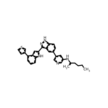 C=C(CCCC)Nc1cncc(-c2ccc3[nH]nc(-c4cc5c(-c6ccsc6)cccc5[nH]4)c3c2)c1